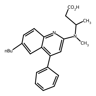 CCCCc1ccc2nc(N(C)C(C)CC(=O)O)cc(-c3ccccc3)c2c1